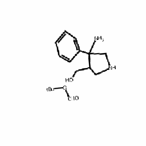 CC(C)(C)OC=O.NC1(c2ccccc2)CNCC1CO